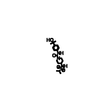 CC(C)S(=O)(=O)NC1CCN(C(=O)Nc2ccc(C(C)(C)O)cc2)CC1